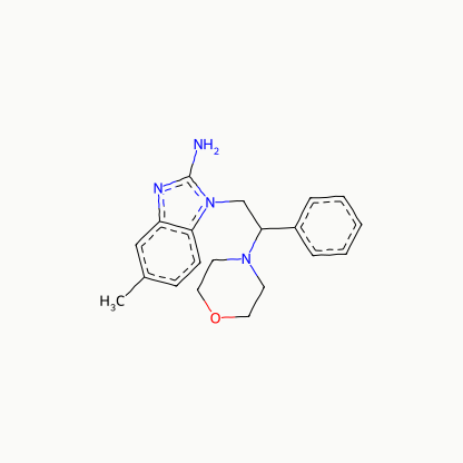 Cc1ccc2c(c1)nc(N)n2CC(c1ccccc1)N1CCOCC1